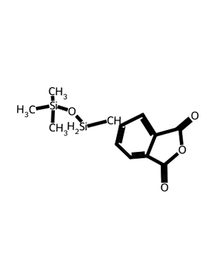 C[SiH2]O[Si](C)(C)C.O=C1OC(=O)c2ccccc21